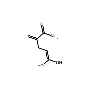 C=C(CC=C(O)O)C(N)=O